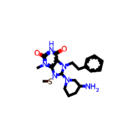 CSN1c2c(c(=O)[nH]c(=O)n2C)N(CCc2ccccc2)C1N1CCCC(N)C1